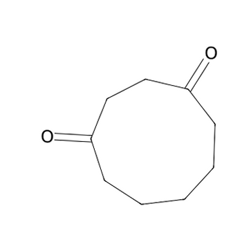 O=C1CCCCCC(=O)CC1